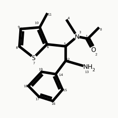 CC(=O)N(C)C(c1sccc1C)C(N)c1ccccc1